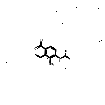 CCc1c(C(=O)O)ccc(NC(C)C)c1N